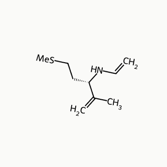 C=CN[C@@H](CCSC)C(=C)C